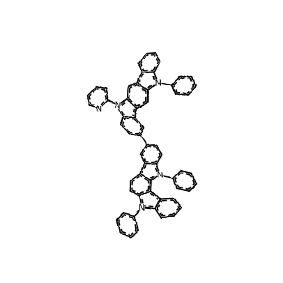 c1ccc(-n2c3ccccc3c3cc4c(cc32)c2cc(-c3ccc5c(c3)c3ccc6c(c7ccccc7n6-c6ccccc6)c3n5-c3ccccc3)ccc2n4-c2ccccn2)cc1